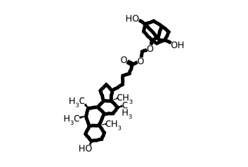 C[C@@H]1C2C[C@H](O)CC[C@]2(C)C2C[C@H](C)[C@]3(C)C(CCCC(=O)OCOC45CC6CC(O)(CC(O)(C6)C4)C5)CCC3C2[C@@H]1C